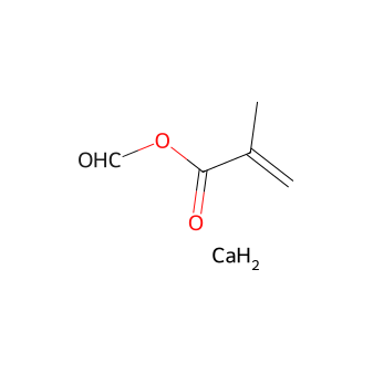 C=C(C)C(=O)OC=O.[CaH2]